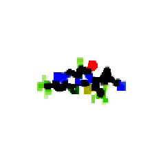 N#C[C@@H]1C[C@@H]1c1c(C(F)(F)F)sc2nc(Cn3nc(C(F)(F)F)cc3Cl)c(F)c(=O)n12